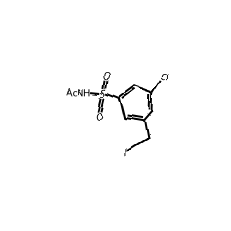 CC(=O)NS(=O)(=O)c1cc(Cl)cc(CI)c1